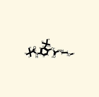 COCCNC(=O)Oc1ccc(NC(=O)C(C)(C)C)cc1C(C)(C)C